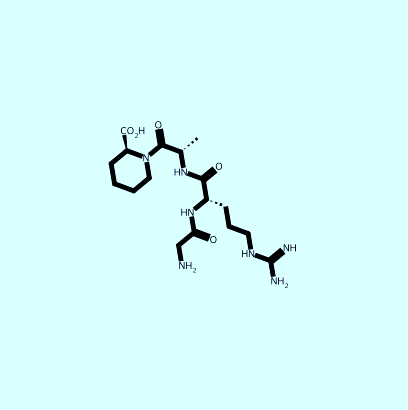 C[C@H](NC(=O)[C@H](CCCNC(=N)N)NC(=O)CN)C(=O)N1CCCC[C@H]1C(=O)O